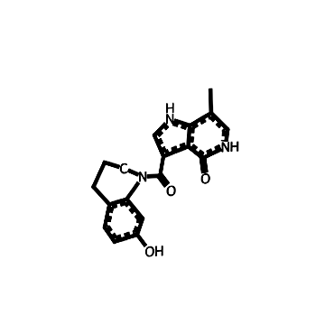 Cc1c[nH]c(=O)c2c(C(=O)N3CCCc4ccc(O)cc43)c[nH]c12